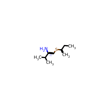 C=C(CC)S/C=C(\N)C(C)C